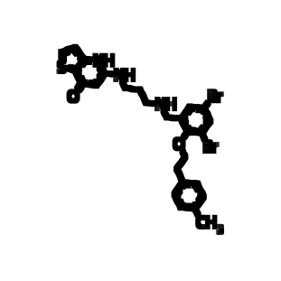 Cc1ccc(CCOc2c(Br)cc(Br)cc2CNCCCNc2cc(=O)c3sccc3[nH]2)cc1